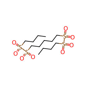 CCCCS(=O)(=O)S(=O)(=O)CCCCCS(=O)(=O)S(=O)(=O)CCCC